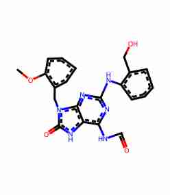 COc1ccccc1Cn1c(=O)[nH]c2c(N[C]=O)nc(Nc3ccccc3CO)nc21